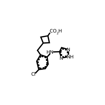 O=C(O)C1CC(Cc2cc(Cl)ccc2Nc2cn[nH]n2)C1